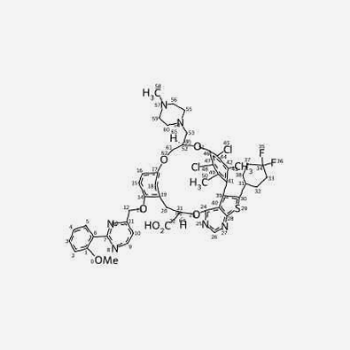 COc1ccccc1-c1nccc(COc2ccc3cc2C[C@H](C(=O)O)Oc2ncnc4sc(C5CCC(F)(F)CC5)c(c24)-c2c(C)c(Cl)c(c(Cl)c2C)O[C@H](CN2CCN(C)CC2)CO3)n1